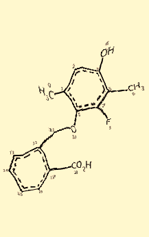 Cc1cc(O)c(C)c(F)c1OCc1ccccc1C(=O)O